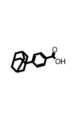 O=C(O)c1ccc(C23CC4CC(CC(C4)C2)C3)cc1